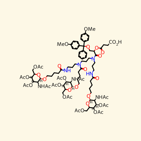 COc1ccc(C(OCC(OC(=O)CCC(=O)O)C(=O)N(CCCNC(=O)CCCCO[C@@H]2OC(COC(C)=O)[C@H](OC(C)=O)[C@H](OC(C)=O)C2NC(C)=O)CCCN(CCCNC(=O)CCCCO[C@@H]2OC(COC(C)=O)[C@H](OC(C)=O)[C@H](OC(C)=O)C2NC(C)=O)C(=O)CCCCO[C@@H]2OC(COC(C)=O)[C@H](OC(C)=O)[C@H](OC(C)=O)C2NC(C)=O)(c2ccccc2)c2ccc(OC)cc2)cc1